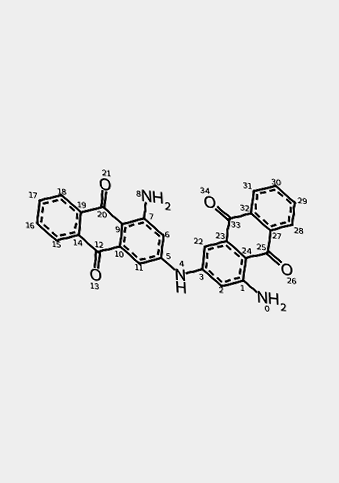 Nc1cc(Nc2cc(N)c3c(c2)C(=O)c2ccccc2C3=O)cc2c1C(=O)c1ccccc1C2=O